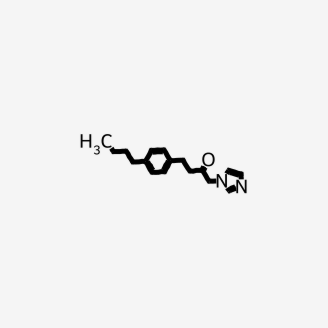 CCCCc1ccc(CCC(=O)Cn2ccnc2)cc1